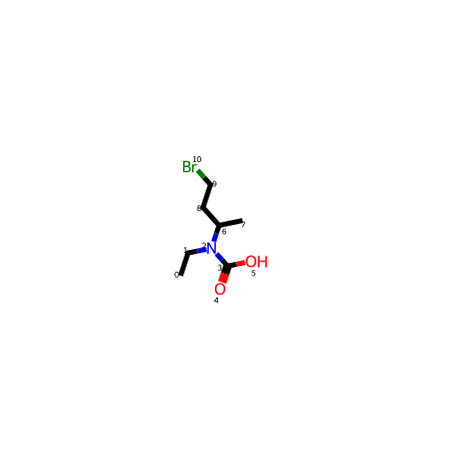 CCN(C(=O)O)C(C)CCBr